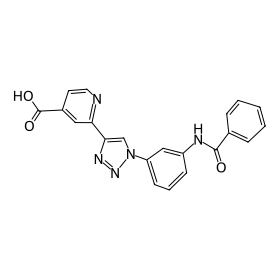 O=C(O)c1ccnc(-c2cn(-c3cccc(NC(=O)c4ccccc4)c3)nn2)c1